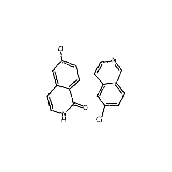 Clc1ccc2cnccc2c1.O=c1[nH]ccc2cc(Cl)ccc12